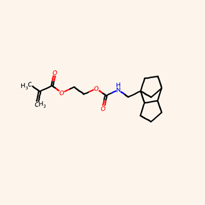 C=C(C)C(=O)OCCOC(=O)NCC12CCC(C1)C1CCCC12